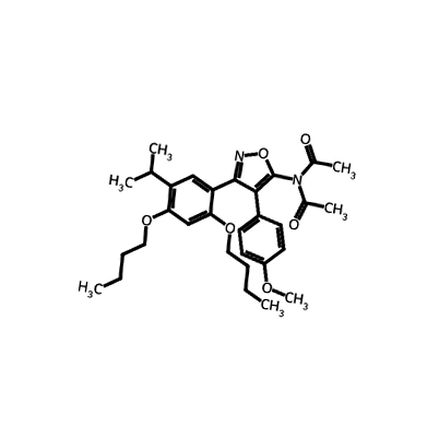 CCCCOc1cc(OCCCC)c(C(C)C)cc1-c1noc(N(C(C)=O)C(C)=O)c1-c1ccc(OC)cc1